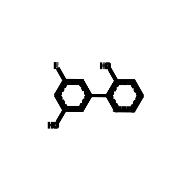 Oc1cc(F)cc(-c2[c]cccc2O)c1